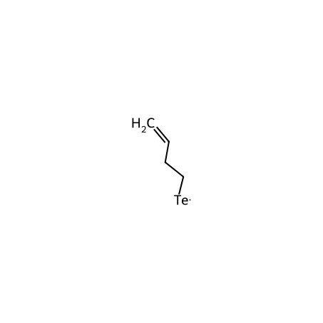 C=CCC[Te]